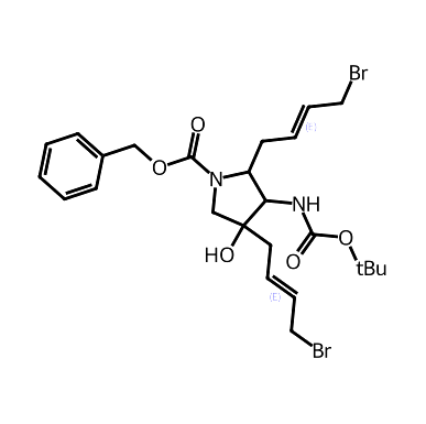 CC(C)(C)OC(=O)NC1C(C/C=C/CBr)N(C(=O)OCc2ccccc2)CC1(O)C/C=C/CBr